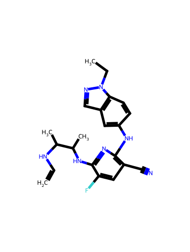 C=CNC(C)C(C)Nc1nc(Nc2ccc3c(cnn3CC)c2)c(C#N)cc1F